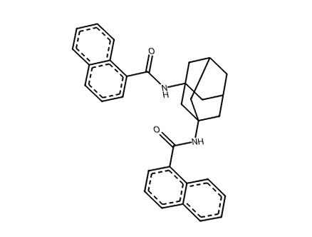 O=C(NC12CC3CC(C1)CC(NC(=O)c1cccc4ccccc14)(C3)C2)c1cccc2ccccc12